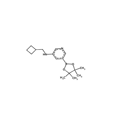 CC1(C)OB(c2cncc(NCC3CCC3)c2)OC1(C)C